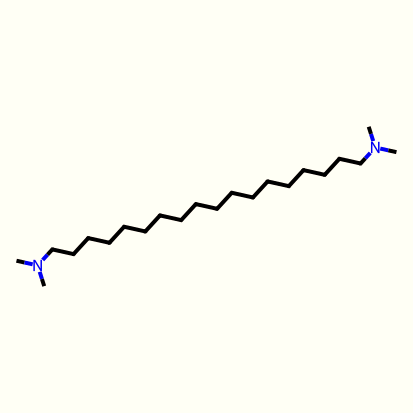 CN(C)CCCCCCCCCCCCCCCCCCN(C)C